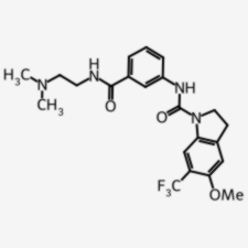 COc1cc2c(cc1C(F)(F)F)N(C(=O)Nc1cccc(C(=O)NCCN(C)C)c1)CC2